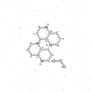 O=S=O.c1cnc2cccnc2c1.c1cnc2cccnc2c1